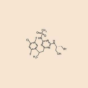 CC(C)C[C@H](CO)Nc1nc(CC(C)c2cc(F)c(Cl)cc2F)nc(NS(C)(=O)=O)n1